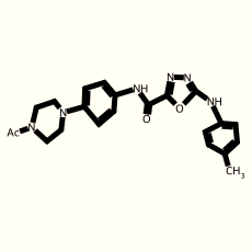 CC(=O)N1CCN(c2ccc(NC(=O)c3nnc(Nc4ccc(C)cc4)o3)cc2)CC1